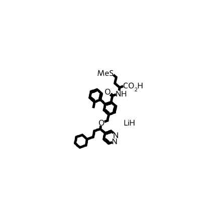 CSCCC(NC(=O)c1ccc(COC(CCC2CCCCC2)c2ccnnc2)cc1-c1ccccc1C)C(=O)O.[LiH]